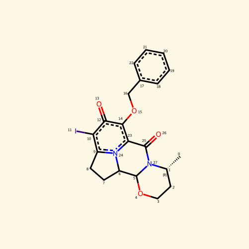 C[C@@H]1CCOC2C3CCc4c(I)c(=O)c(OCc5ccccc5)c(n43)C(=O)N21